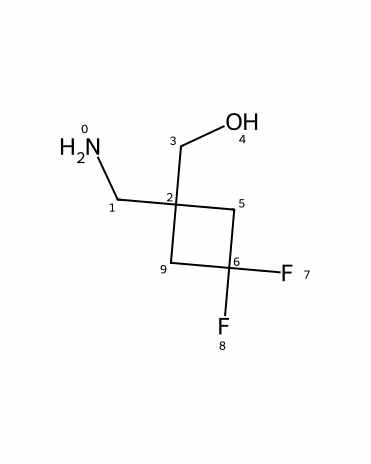 NCC1(CO)CC(F)(F)C1